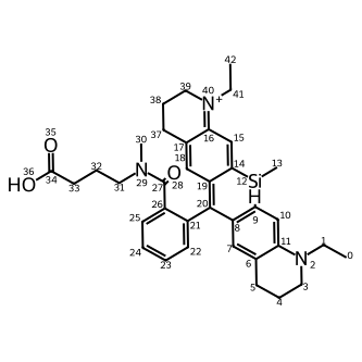 CCN1CCCc2cc3c(cc21)[SiH](C)c1cc2c(cc1=C3c1ccccc1C(=O)N(C)CCCC(=O)O)CCC[N+]=2CC